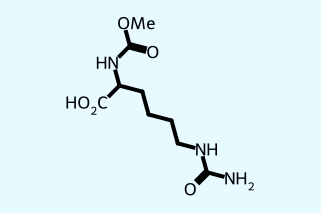 COC(=O)NC(CCCCNC(N)=O)C(=O)O